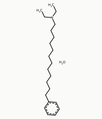 CCN(CC)CCCCCCCCCCCCc1ccccc1.O